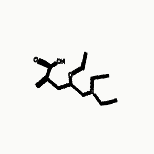 C=C(CC(CN(CC)CC)OCC)C(=O)O